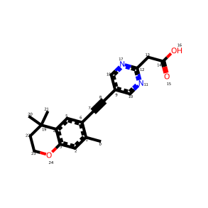 Cc1cc2c(cc1C#Cc1cnc(CC(=O)O)nc1)C(C)(C)CCO2